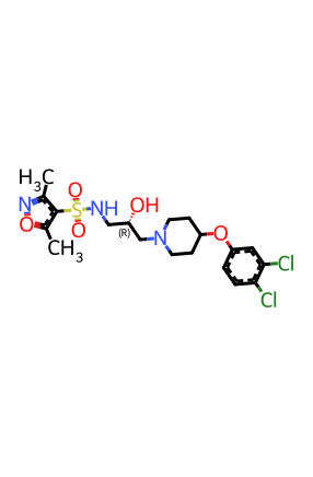 Cc1noc(C)c1S(=O)(=O)NC[C@H](O)CN1CCC(Oc2ccc(Cl)c(Cl)c2)CC1